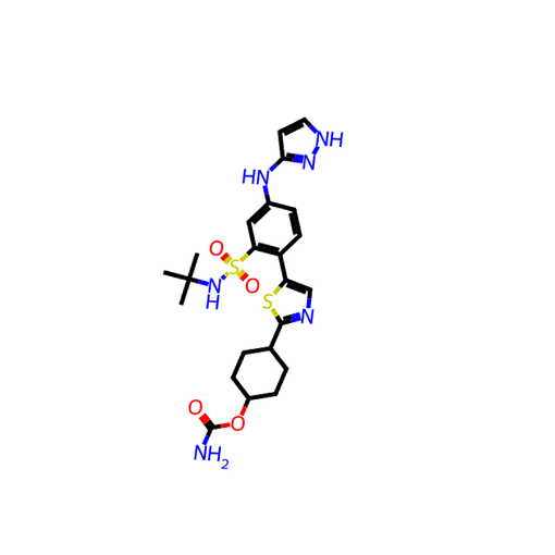 CC(C)(C)NS(=O)(=O)c1cc(Nc2cc[nH]n2)ccc1-c1cnc(C2CCC(OC(N)=O)CC2)s1